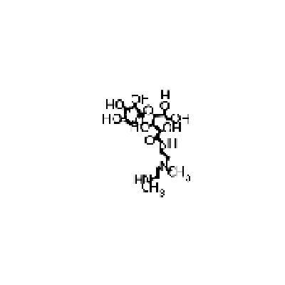 CNCCN(C)CCNC(=O)C(O)C(O)C(O[C@@H]1OC[C@H](O)[C@H](O)C1O)C(O)CO